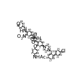 CC(=O)Nc1ccc(Oc2cc(N3CCN(Cc4ccccc4-c4ccc(Cl)cc4)CC3)ccc2C(=O)NS(=O)(=O)c2ccc(NCC3CCOCC3)c([N+](=O)[O-])c2)cc1